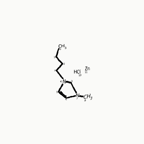 CCCCN1C=CN(C)C1.Cl.[Zn]